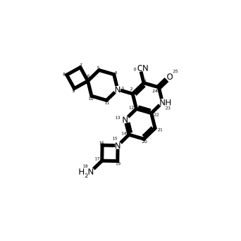 N#Cc1c(N2CCC3(CCC3)CC2)c2nc(N3CC(N)C3)ccc2[nH]c1=O